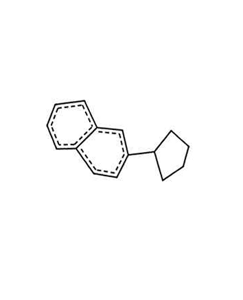 c1ccc2cc(C3CCCC3)ccc2c1